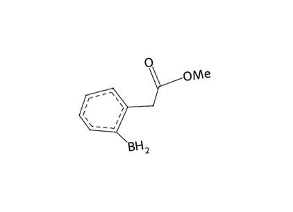 Bc1ccccc1CC(=O)OC